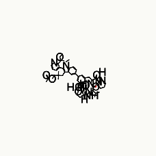 CCn1c(-c2cccnc2[C@H](C)OC)c(CC(C)(C)COC(C)=O)c2cc(-c3cc(O)cc(C[C@H](NC(=O)C(C(C)C)N4N[C@@H]5CCO[C@@H]5C4=O)C(=O)N4CCCCN4)c3)ccc21